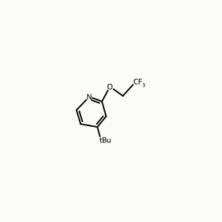 CC(C)(C)c1ccnc(OCC(F)(F)F)c1